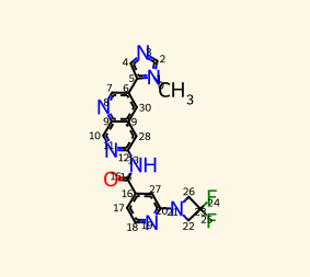 Cn1cncc1-c1cnc2cnc(NC(=O)c3ccnc(N4CC(F)(F)C4)c3)cc2c1